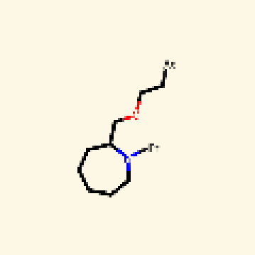 CC(=O)CCOCC1CCCCCN1C(C)C